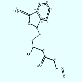 C=C1O[C@@H](CCC(C)CC(=O)CCC=O)c2ccccc21